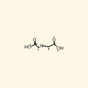 O=C(O)[CH2][Ti][CH2]C(=O)O